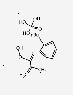 C=C(C)C(=O)OO.CCCCc1ccccc1.O=P(O)(O)O